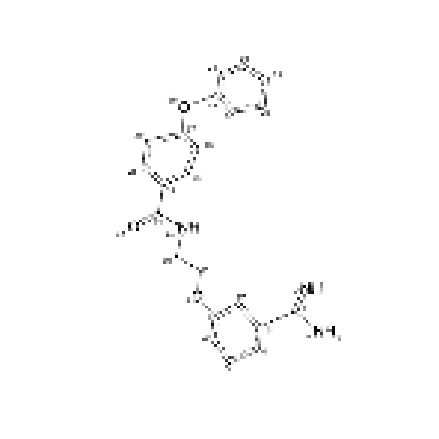 N=C(N)c1cccc(OCCNC(=O)c2ccc(Oc3ccccc3)cc2)c1